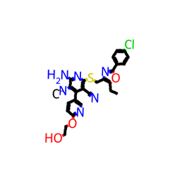 [C-]#[N+]c1c(N)nc(SCc2nc(-c3ccc(Cl)cc3)oc2CC)c(C#N)c1-c1ccc(OCCO)nc1